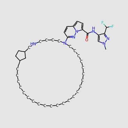 Cn1cc(NC(=O)c2ccc3ccc(N4CCCCCCCCCCCCCCCCCCCCCCCC5CCC(CNCCCC4)C5)nn23)c(C(F)F)n1